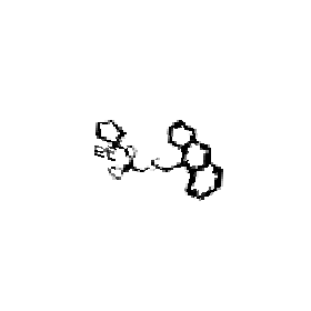 CCC1(OC(=O)CSCc2c3ccccc3cc3ccccc23)CCCC1